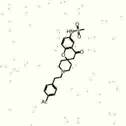 CC(=O)c1ccc(CCN2CCC3(CC2)CC(=O)c2cc(NS(C)(=O)=O)ccc2O3)cc1